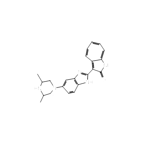 CC1CN(c2ccc3[nH]c(-c4c5cccccc-5[nH]c4=O)nc3c2)CC(C)N1